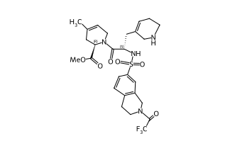 COC(=O)[C@H]1CC(C)=CCN1C(=O)[C@H](CC1=CCCNC1)NS(=O)(=O)c1ccc2c(c1)CN(C(=O)C(F)(F)F)CC2